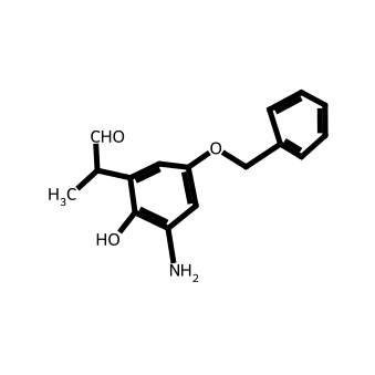 CC(C=O)c1cc(OCc2ccccc2)cc(N)c1O